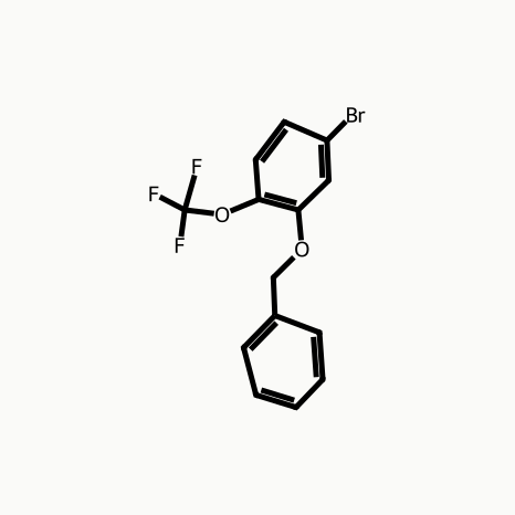 FC(F)(F)Oc1ccc(Br)cc1OCc1ccccc1